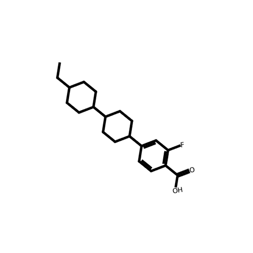 CCC1CCC(C2CCC(c3ccc(C(=O)O)c(F)c3)CC2)CC1